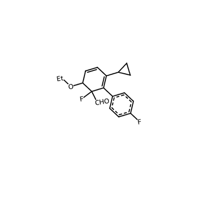 CCOC1C=CC(C2CC2)=C(c2ccc(F)cc2)C1(F)C=O